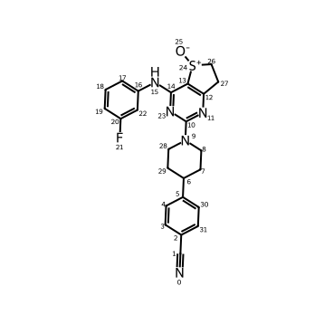 N#Cc1ccc(C2CCN(c3nc4c(c(Nc5cccc(F)c5)n3)[S+]([O-])CC4)CC2)cc1